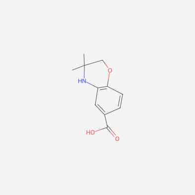 CC1(C)COc2ccc(C(=O)O)cc2N1